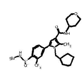 Cc1c(C(=O)NC2CCOCC2)cc(-c2ccc([S+]([O-])NC(C)(C)C)c(C(F)(F)F)c2)n1CC1CCCC1